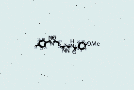 COc1ccc(C(=O)Nc2nnc(SCc3nc(-c4ccc(C)cc4)no3)s2)cc1